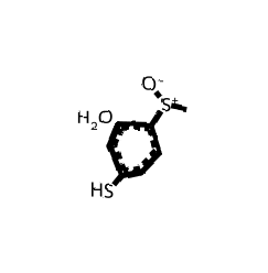 C[S+]([O-])c1ccc(S)cc1.O